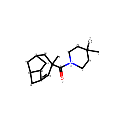 CCC1(C)CCN(C(=O)C2(C)C=C3CC4CC(CC34)C2)CC1